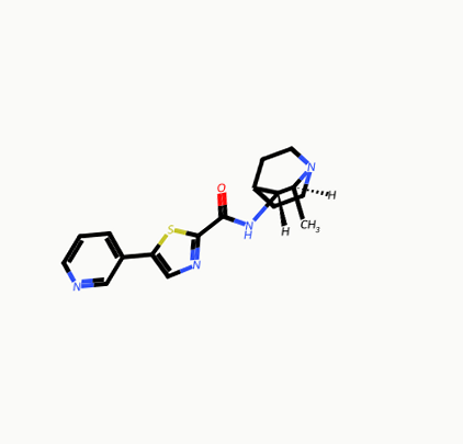 C[C@H]1[C@H](NC(=O)c2ncc(-c3cccnc3)s2)C2CCN1CC2